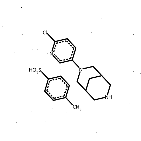 Cc1ccc(S(=O)(=O)O)cc1.Clc1ccc(N2CC3CNCC(C3)C2)cn1